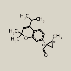 CC(C)C1=CC(C)(C)Oc2cc([C@@]3(C=O)C[C@H]3C)ccc21